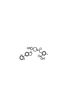 Cc1ccc(CC(=O)N2CCC3(CC2)CNC3[C@@H]2CCc3cc(-c4ncccn4)ccc32)c(C(=O)O)c1